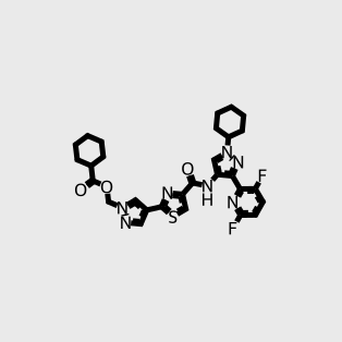 O=C(Nc1cn(C2CCCCC2)nc1-c1nc(F)ccc1F)c1csc(-c2cnn(COC(=O)C3CCCCC3)c2)n1